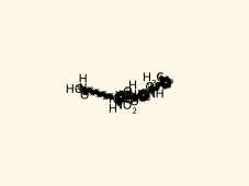 Cc1ccccc1C=CC(=O)Nc1ccc(C(=O)NS(=O)(=O)c2ccc(NCCCCCCCC(=O)NO)c([N+](=O)[O-])c2)cc1